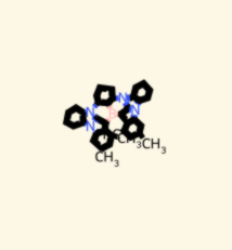 Cc1cc(C)c2c3c4n(c5ccccc5n4c2c1)-c1cccc2c1B3c1c3c(C)cc(C)cc3n3c4ccccc4n-2c13